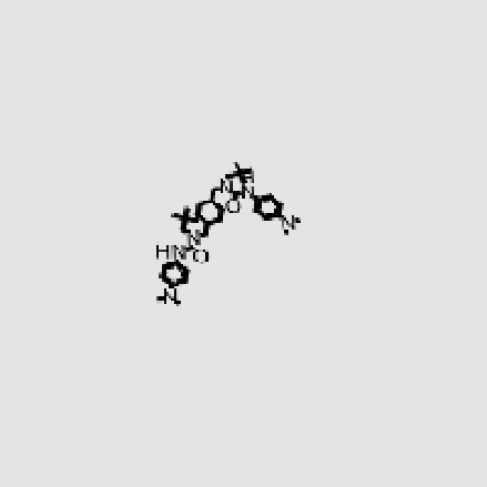 CN(C)c1ccc(NC(=O)N(CC2CCC(CN(CC(C)(C)C)C(=O)Nc3ccc(N(C)C)cc3)CC2)CC(C)(C)C)cc1